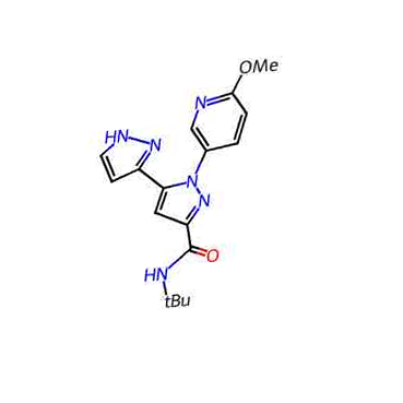 COc1ccc(-n2nc(C(=O)NC(C)(C)C)cc2-c2cc[nH]n2)cn1